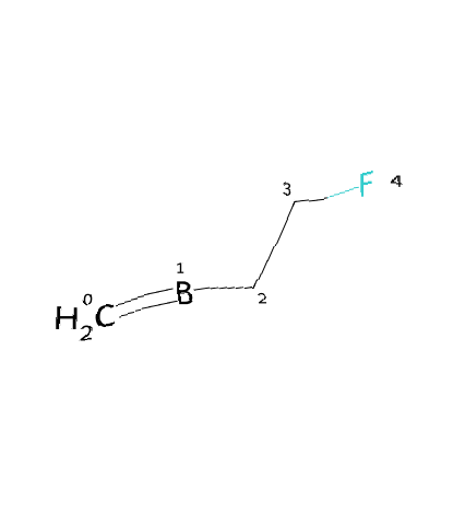 C=BCCF